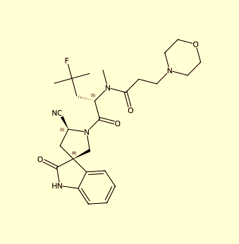 CN(C(=O)CCN1CCOCC1)[C@@H](CC(C)(C)F)C(=O)N1C[C@]2(C[C@H]1C#N)C(=O)Nc1ccccc12